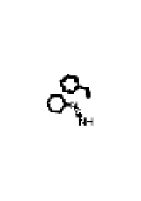 C=Cc1ccccc1.N=C=NC1CCCCC1